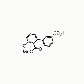 COC(=O)c1c(O)cccc1-c1cccc(C(=O)O)c1